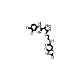 N=C(Nc1ccc(F)c(Cl)c1)c1nonc1OCCNC(=O)CC1SC(=O)NC1=O